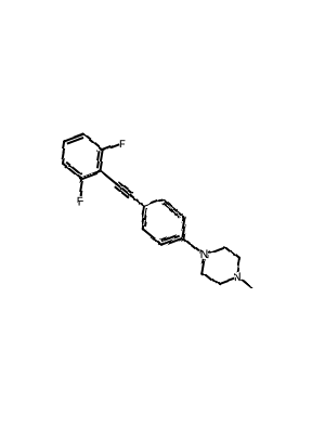 CN1CCN(c2ccc(C#Cc3c(F)cccc3F)cc2)CC1